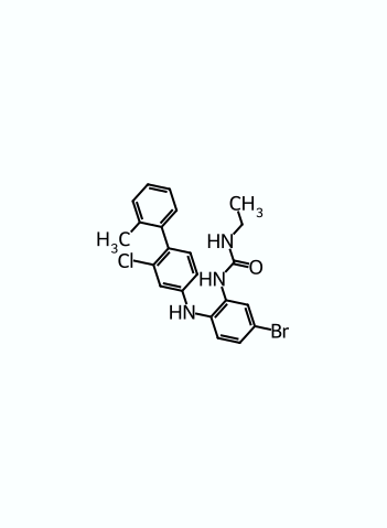 CCNC(=O)Nc1cc(Br)ccc1Nc1ccc(-c2ccccc2C)c(Cl)c1